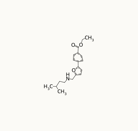 CCOC(=O)c1ccc(-c2ccc(CNCCC(C)C)o2)cc1